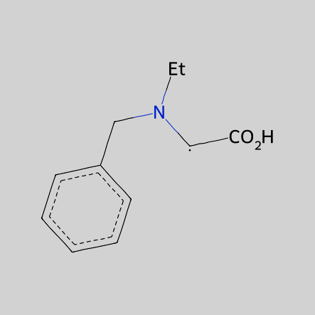 CCN([CH]C(=O)O)Cc1ccccc1